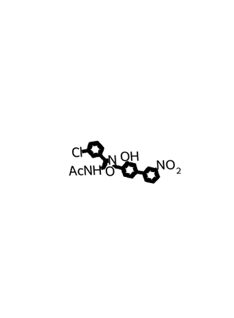 CC(=O)Nc1oc(-c2ccc(-c3cccc([N+](=O)[O-])c3)cc2O)nc1-c1cccc(Cl)c1